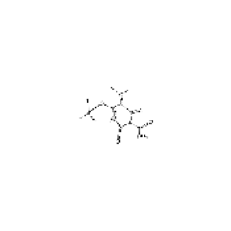 CC(C)=C1C(=O)N(C(N)=O)C(=O)N=C1OC(C)(C)C